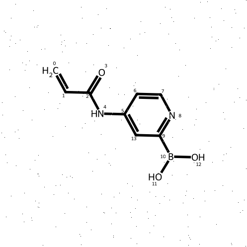 C=CC(=O)Nc1ccnc(B(O)O)c1